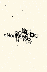 CCCCCCCCCC(=O)NC(=O)OCc1nc(C(C)C)c(Sc2cc(Cl)cc(Cl)c2)n1Cc1ccncc1